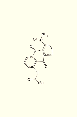 CC(C)(C)C(=O)Oc1cccc2c1C(=O)c1cccc([S+](N)[O-])c1C2=O